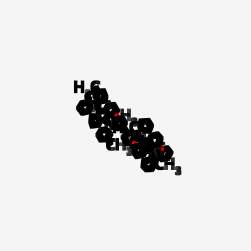 Cc1cccc(N(c2ccccc2C)c2c3ccccc3c(N(c3cccc(C)c3)c3cc(-c4ccc(C)c(N(c5ccccc5C)c5c6ccccc6c(N(c6ccccc6C)c6ccccc6C)c6ccccc56)c4)ccc3C)c3ccccc23)c1